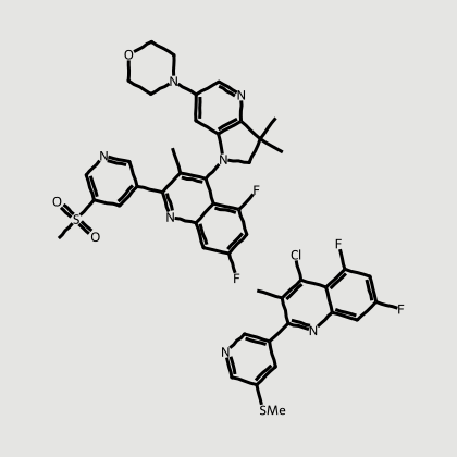 CSc1cncc(-c2nc3cc(F)cc(F)c3c(Cl)c2C)c1.Cc1c(-c2cncc(S(C)(=O)=O)c2)nc2cc(F)cc(F)c2c1N1CC(C)(C)c2ncc(N3CCOCC3)cc21